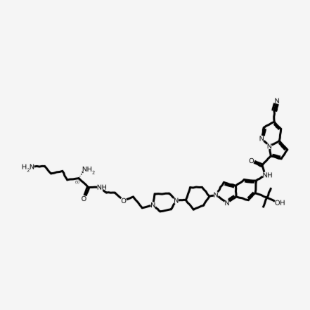 CC(C)(O)c1cc2nn(C3CCC(N4CCN(CCOCCNC(=O)[C@@H](N)CCCCN)CC4)CC3)cc2cc1NC(=O)c1ccc2cc(C#N)cnn12